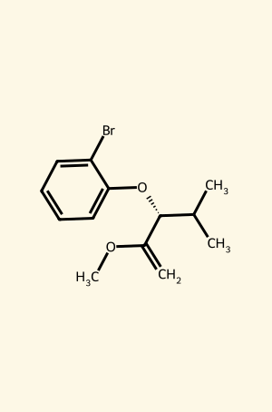 C=C(OC)[C@H](Oc1ccccc1Br)C(C)C